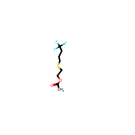 CC(=O)OCCSCCCC(F)(F)F